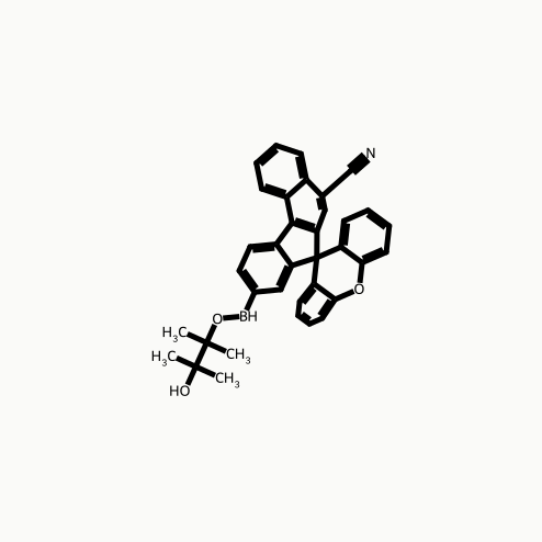 CC(C)(O)C(C)(C)OBc1ccc2c(c1)C1(c3ccccc3Oc3ccccc31)c1cc(C#N)c3ccccc3c1-2